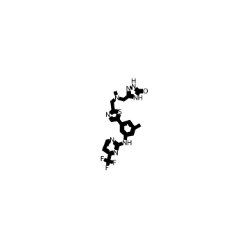 Cc1cc(Nc2nccc(C(F)(F)F)n2)cc(-c2cnc(CN(C)Cc3n[nH]c(=O)[nH]3)s2)c1